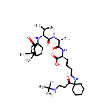 CC(C)[C@H](NC12CCC(CC1)C(C)(C)CC2=O)C(=O)N[C@@H](C)C(=O)N[C@@H](CCCCNC1(C(=O)CCNC(C)(C)C)CCCCC1)C(=O)O